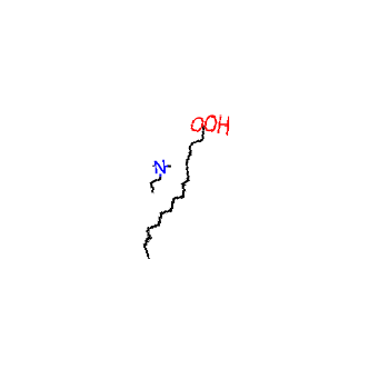 CCCCCCCCCCCCCCCC(=O)O.CCCN(C)C